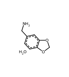 NCc1ccc2c(c1)OCO2.O